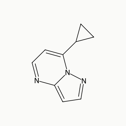 c1cc(C2CC2)n2nccc2n1